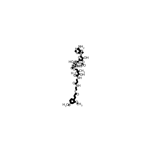 COc1ccc(C=CC(=O)SCCNC(=O)CCNC(=O)[C@H](O)C(C)(C)COP(=O)(O)OP(=O)(O)OC[C@H]2O[C@@H](n3cnc4c(N)ncnc43)[C@H](O)[C@@H]2OP(=O)(O)O)c(OC)c1